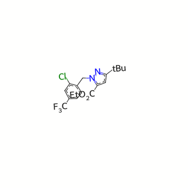 CCOC(=O)c1cc(C(C)(C)C)nn1Cc1ccc(C(F)(F)F)cc1Cl